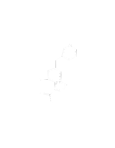 O=C(O)c1occ2cc(Cc3cccnc3)cc(Br)c12